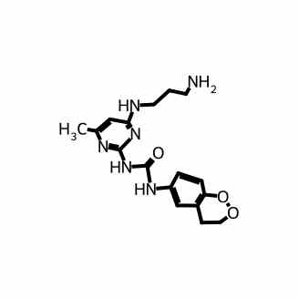 Cc1cc(NCCCN)nc(NC(=O)Nc2ccc3c(c2)CCOO3)n1